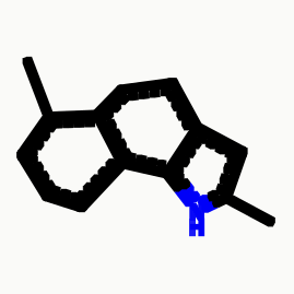 Cc1cc2ccc3c(C)cccc3c2[nH]1